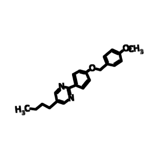 CCCCc1cnc(-c2ccc(OCc3ccc(OC)cc3)cc2)nc1